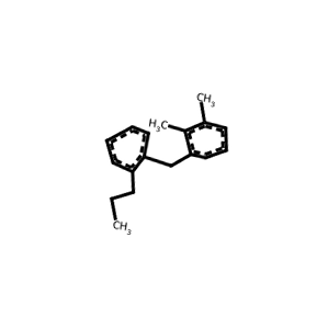 CCCc1ccccc1Cc1cccc(C)c1C